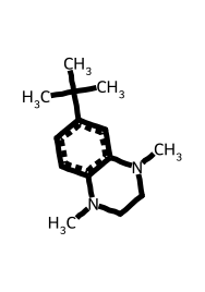 CN1CCN(C)c2cc(C(C)(C)C)ccc21